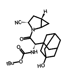 CC(C)(C)OC(=O)N[C@H](C(=O)N1C2C[C@H]2C[C@H]1C#N)C12CC3CC(CC(O)(C3)C1)C2